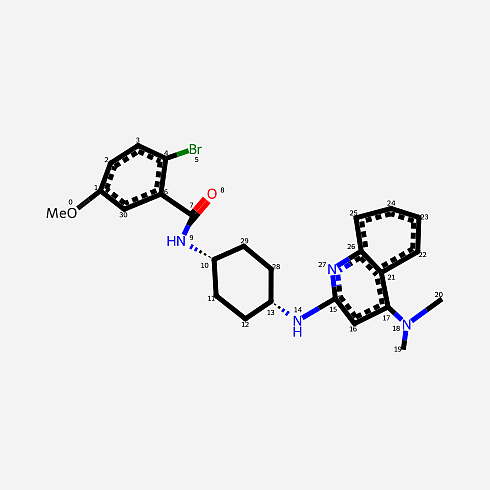 COc1ccc(Br)c(C(=O)N[C@H]2CC[C@@H](Nc3cc(N(C)C)c4ccccc4n3)CC2)c1